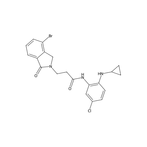 O=C(CCN1Cc2c(Br)cccc2C1=O)Nc1cc(Cl)ccc1NC1CC1